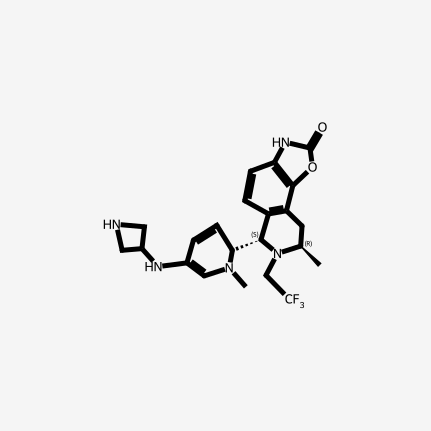 C[C@@H]1Cc2c(ccc3[nH]c(=O)oc23)[C@@H](C2C=CC(NC3CNC3)=CN2C)N1CC(F)(F)F